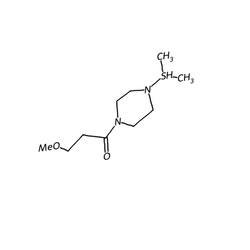 COCCC(=O)N1CCN([SH](C)C)CC1